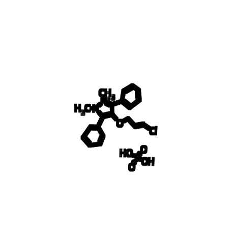 Cn1c(-c2ccccc2)c(OCC=CCl)c(-c2ccccc2)[n+]1C.O=S(=O)(O)O